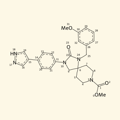 COC(=O)N1CCC2(CC1)CN(c1ccc(-c3cn[nH]c3)cc1)C(=O)N2Cc1cccc(OC)c1